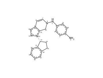 Nc1ccc(NN2C=Cc3cnn([C@@H]4CCc5ccccc54)c3C2)cc1